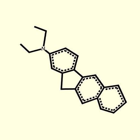 CCN(CC)c1ccc2c(c1)Cc1cc3ccccc3cc1-2